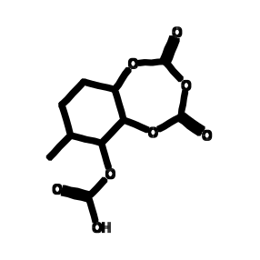 CC1CCC2OC(=O)OC(=O)OC2C1OC(=O)O